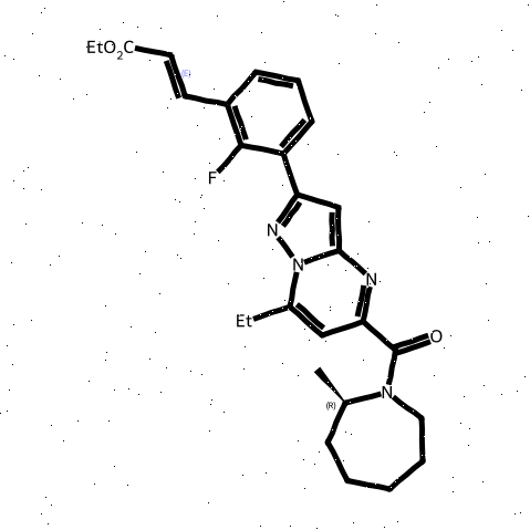 CCOC(=O)/C=C/c1cccc(-c2cc3nc(C(=O)N4CCCCC[C@H]4C)cc(CC)n3n2)c1F